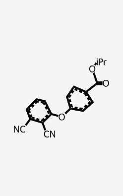 CC(C)OC(=O)c1ccc(Oc2cccc(C#N)c2C#N)cc1